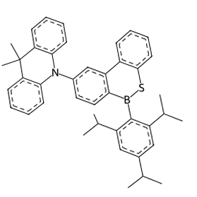 CC(C)c1cc(C(C)C)c(B2Sc3ccccc3-c3cc(N4c5ccccc5C(C)(C)c5ccccc54)ccc32)c(C(C)C)c1